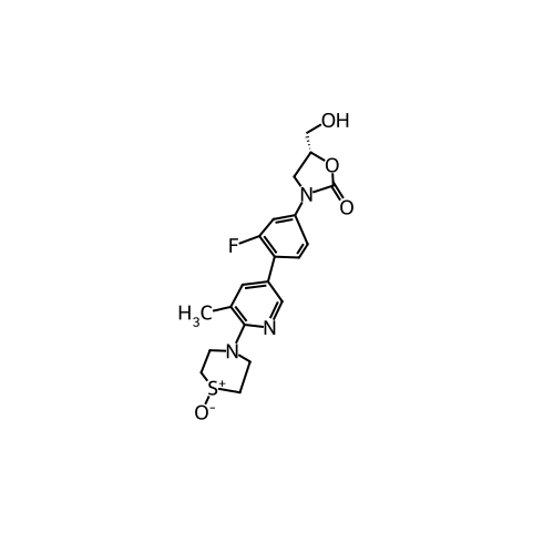 Cc1cc(-c2ccc(N3C[C@H](CO)OC3=O)cc2F)cnc1N1CC[S+]([O-])CC1